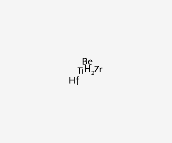 [BeH2].[Hf].[Ti].[Zr]